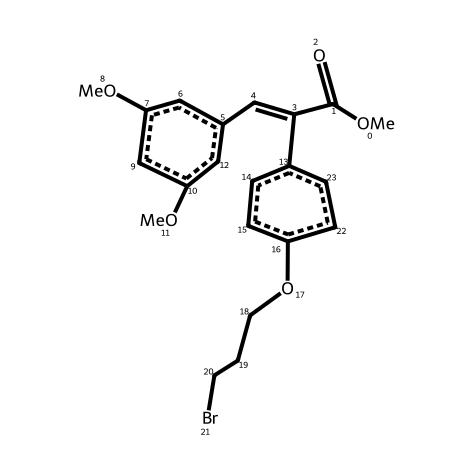 COC(=O)C(=Cc1cc(OC)cc(OC)c1)c1ccc(OCCCBr)cc1